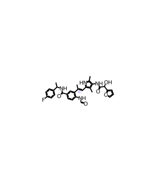 C/C(=C\c1[nH]c(C)c(NC(=O)C(O)c2ccco2)c1C)c1cc(C(=O)NC(C)c2ccc(F)cc2)ccc1NC=O